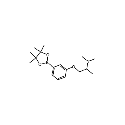 CC(COc1cccc(B2OC(C)(C)C(C)(C)O2)c1)N(C)C